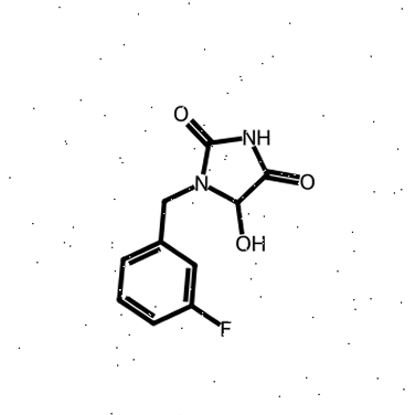 O=C1NC(=O)N(Cc2cccc(F)c2)C1O